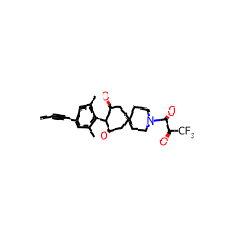 CC#Cc1cc(C)c(C2C(=O)CC3(CCN(C(=O)C(=O)C(F)(F)F)CC3)CC2=O)c(C)c1